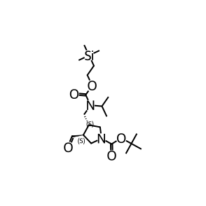 CC(C)N(C[C@@H]1CN(C(=O)OC(C)(C)C)C[C@H]1C=O)C(=O)OCC[Si](C)(C)C